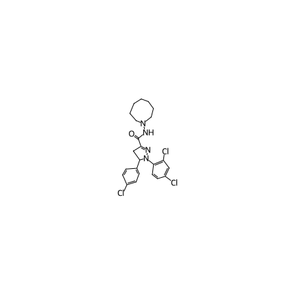 O=C(NN1CCCCCCC1)C1=NN(c2ccc(Cl)cc2Cl)C(c2ccc(Cl)cc2)C1